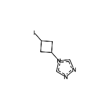 IC1CC(n2cnnc2)C1